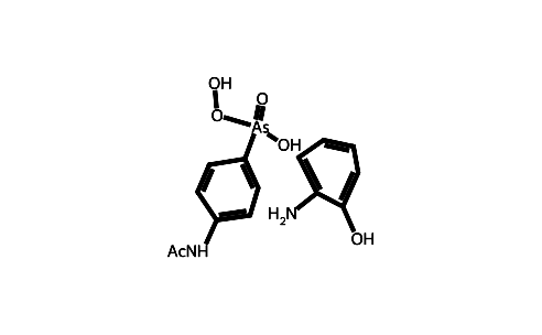 CC(=O)Nc1ccc([As](=O)(O)OO)cc1.Nc1ccccc1O